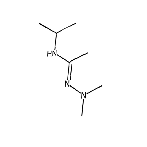 C/C(=N\N(C)C)NC(C)C